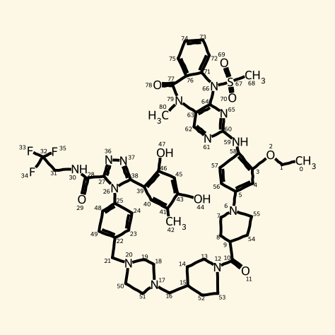 CCOc1cc(N2CCC(C(=O)N3CCC(CN4CCN(Cc5ccc(-n6c(C(=O)NCC(F)(F)F)nnc6-c6cc(C)c(O)cc6O)cc5)CC4)CC3)CC2)ccc1Nc1ncc2c(n1)N(S(C)(=O)=O)c1ccccc1C(=O)N2C